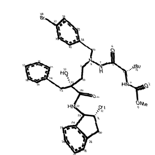 COC(=O)N[C@H](C(=O)NN(CC[C@](O)(Cc1ccccc1)C(=O)NC1c2ccccc2C[C@H]1O)Cc1ccc(Br)cc1)C(C)(C)C